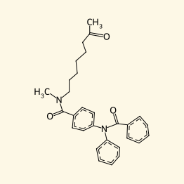 CC(=O)CCCCCCN(C)C(=O)c1ccc(N(C(=O)c2ccccc2)c2ccccc2)cc1